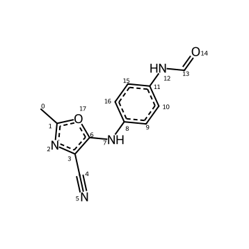 Cc1nc(C#N)c(Nc2ccc(NC=O)cc2)o1